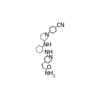 N#Cc1ccc(N2CCC[C@H](N[C@@H]3CCCC[C@H]3Nc3cc(/C=C\C(N)=O)ccn3)C2)cc1